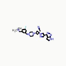 CN(C)Cc1cc(F)cc(CN2CCN([C@H]3C[C@@](CC#N)(n4cc(-c5ncnc6[nH]ccc56)cn4)C3)CC2)c1